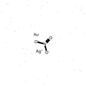 O=[N+]([O-])[O-].[Ag+].[Au]